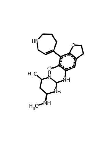 CNC1CC(C)NC(Nc2cc3c(c(C4=CCNCCC4)c2Cl)OCC3)N1